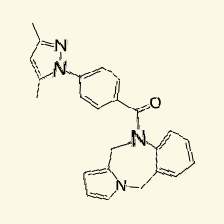 Cc1cc(C)n(-c2ccc(C(=O)N3Cc4cccn4Cc4ccccc43)cc2)n1